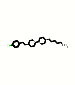 CCCCCC[C@H]1CC[C@H]([C@H]2CC[C@H](CCc3ccc(Cl)cc3)CC2)CC1